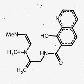 C=C(CNC(=O)c1ccc2cccnc2c1O)N(C)/C=C\NC